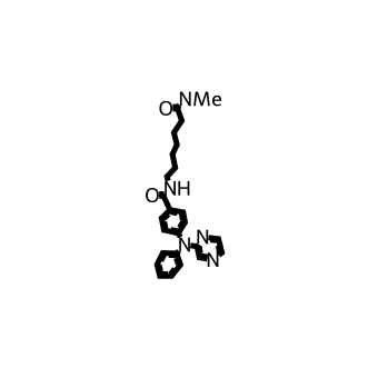 CNC(=O)CCCCCCNC(=O)c1ccc(N(c2ccccc2)c2cnccn2)cc1